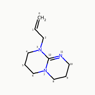 C=CCN1CCCN2CCCN=C12